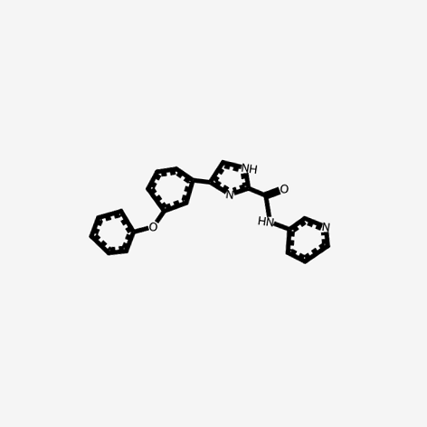 O=C(Nc1cccnc1)c1nc(-c2cccc(Oc3ccccc3)c2)c[nH]1